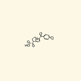 COc1ccc(C(=O)c2ccc3n2CCC3C(=O)C(=O)O)cc1